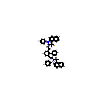 CC1(C)C(/C=C/C2=C(c3ccccc3)C(=C/C=C3/N(c4ccccc4)c4ccc5ccccc5c4C3(C)C)/CCC2)=[N+](c2ccccc2)c2ccc3ccccc3c21